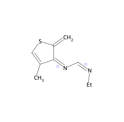 C=C1SC=C(C)/C1=N/C=N\CC